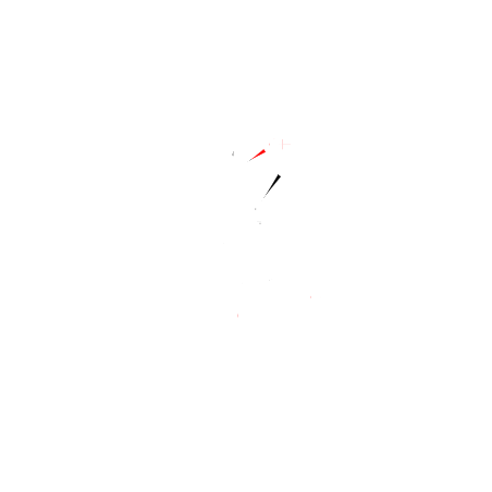 CC1(C)C2=CCC[C@@H](O)[C@]2(C)CCC12OCCO2